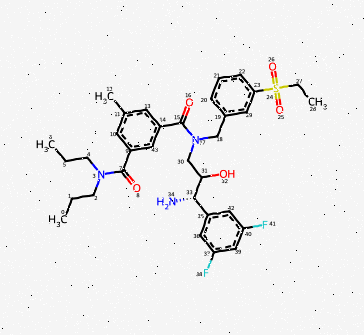 CCCN(CCC)C(=O)c1cc(C)cc(C(=O)N(Cc2cccc(S(=O)(=O)CC)c2)CC(O)[C@@H](N)c2cc(F)cc(F)c2)c1